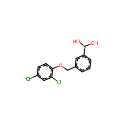 OB(O)c1cccc(COc2ccc(Cl)cc2Cl)c1